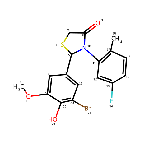 COc1cc(C2SCC(=O)N2c2cc(F)ccc2C)cc(Br)c1O